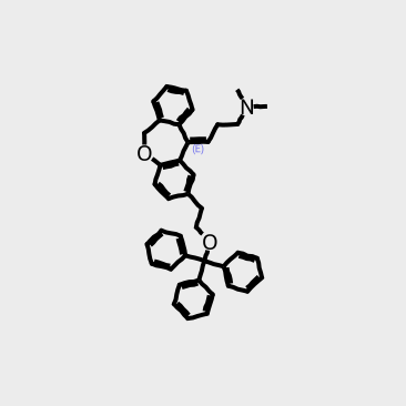 CN(C)CC/C=C1\c2ccccc2COc2ccc(CCOC(c3ccccc3)(c3ccccc3)c3ccccc3)cc21